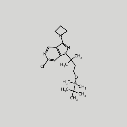 CC(C)(CCO[Si](C)(C)C(C)(C)C)n1nc(N2CCC2)c2cnc(Cl)cc21